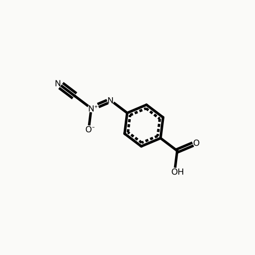 N#C/[N+]([O-])=N/c1ccc(C(=O)O)cc1